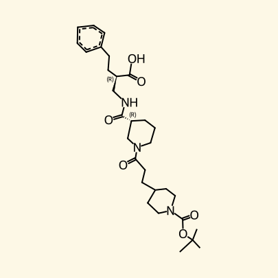 CC(C)(C)OC(=O)N1CCC(CCC(=O)N2CCC[C@@H](C(=O)NC[C@@H](CCc3ccccc3)C(=O)O)C2)CC1